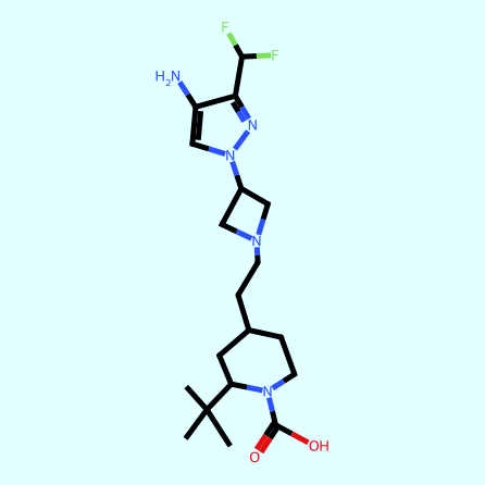 CC(C)(C)C1CC(CCN2CC(n3cc(N)c(C(F)F)n3)C2)CCN1C(=O)O